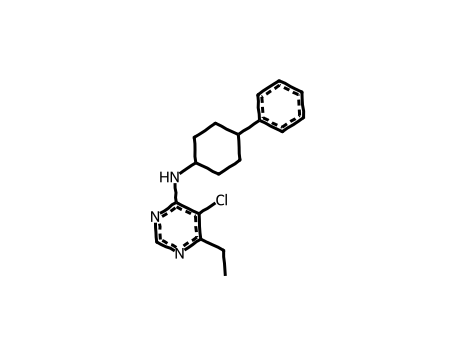 CCc1ncnc(NC2CCC(c3ccccc3)CC2)c1Cl